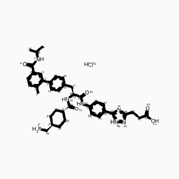 Cc1ccc(C(=O)NC(C)C)cc1-c1ccc(C[C@H](NC(=O)[C@H]2CC[C@H](CN)CC2)C(=O)Nc2ccc(-c3nc(CCC(=O)O)n[nH]3)cc2)cc1.Cl